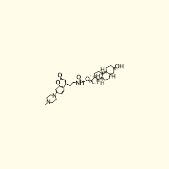 CN1CCN(c2ccc3c(CCNC(=O)CO[C@H]4CC[C@H]5[C@@H]6CC[C@H]7C[C@H](O)CC[C@]7(C)[C@H]6CC[C@]45C)cc(=O)oc3c2)CC1